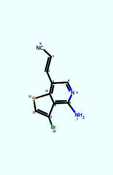 N#CC=Cc1cnc(N)c2c(Br)csc12